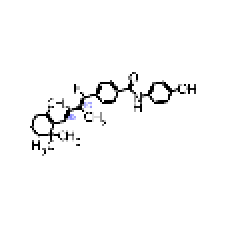 CC1=C(/C=C/C(C)=C(\F)c2ccc(C(=O)Nc3ccc(O)cc3)cc2)C(C)(C)CCC1